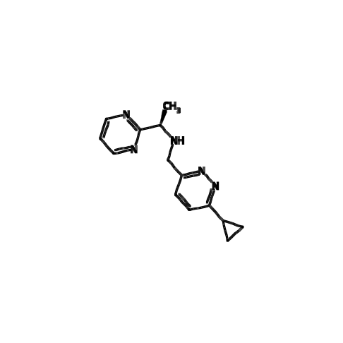 C[C@@H](NCc1ccc(C2CC2)nn1)c1ncccn1